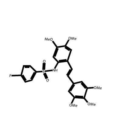 COc1cc(C=Cc2cc(OC)c(OC)c(OC)c2)c(NS(=O)(=O)c2ccc(F)cc2)cc1OC